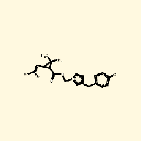 CC1(C)C(C=C(Br)Br)C1C(=O)OCn1ccc(Cc2ccc(Cl)cc2)c1